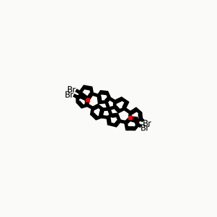 Brc1ccc(-c2ccc3c(c2)C2(c4cc(-c5ccc(Br)cc5)ccc4-3)c3cc(-c4ccc(Br)cc4)ccc3-c3ccc(-c4ccc(Br)cc4)cc32)cc1